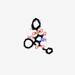 CC1(c2c(C(=O)OCc3ccccc3)[nH]c(=O)c(S(=O)(=O)C3=C/C=C\C=C/C=C\3)c2O)CCCCCCCC1